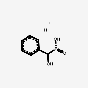 O=[PH](O)C(O)c1ccccc1.[H+].[H+]